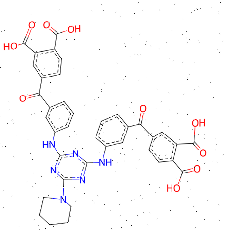 O=C(c1cccc(Nc2nc(Nc3cccc(C(=O)c4ccc(C(=O)O)c(C(=O)O)c4)c3)nc(N3CCCCC3)n2)c1)c1ccc(C(=O)O)c(C(=O)O)c1